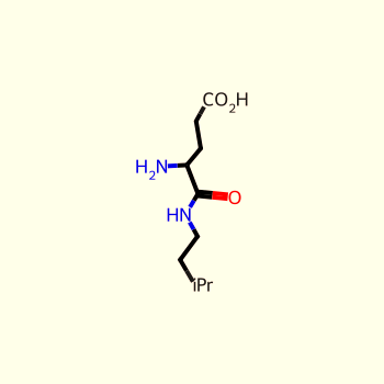 CC(C)CCNC(=O)C(N)CCC(=O)O